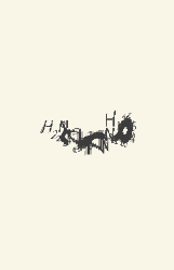 N[C@@H]1CCN(c2cnnc(NCc3ccccc3)c2)C1